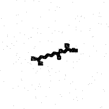 CCCCC(CC)COC(=O)CCCCCC(CC)CC